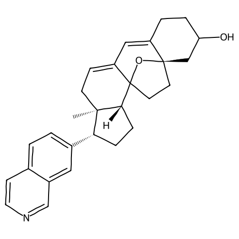 C[C@]12CC=C3C=C4CCC(O)C[C@]45CCC3(O5)[C@@H]1CC[C@@H]2c1ccc2ccncc2c1